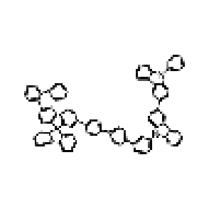 c1ccc(-c2ccccc2-c2ccc(C3(c4cccc(-c5ccc(-c6ccc(-c7cccc(-n8c9ccccc9c9cc(-c%10ccc%11c(c%10)c%10ccccc%10n%11-c%10ccccc%10)ccc98)c7)cc6)cc5)c4)c4ccccc4-c4ccccc43)cc2)cc1